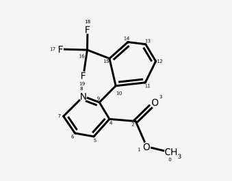 COC(=O)c1cccnc1-c1ccccc1C(F)(F)F